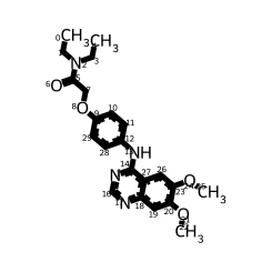 CCN(CC)C(=O)COc1ccc(Nc2ncnc3cc(OC)c(OC)cc23)cc1